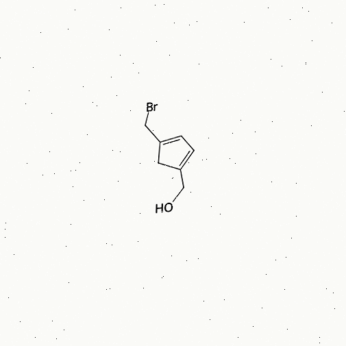 OCC1=CC=C(CBr)C1